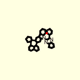 c1ccc(-c2nc3ccccc3nc2-n2c3ccccc3c3cc4c(cc32)-c2cccc3cccc(c23)-c2ccccc2-4)cc1